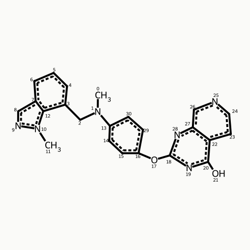 CN(Cc1cccc2cnn(C)c12)c1ccc(Oc2nc(O)c3ccncc3n2)cc1